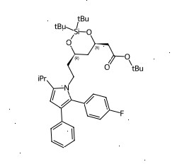 CC(C)c1cc(-c2ccccc2)c(-c2ccc(F)cc2)n1CC[C@@H]1C[C@H](CC(=O)OC(C)(C)C)O[Si](C(C)(C)C)(C(C)(C)C)O1